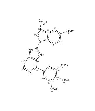 COc1ccc2c(-c3nc4ccnc(-c5cc(OC)c(OC)c(OC)c5)n4n3)cn(C(=O)O)c2c1